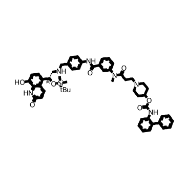 CN(C(=O)CCN1CCC(OC(=O)Nc2ccccc2-c2ccccc2)CC1)c1cccc(C(=O)Nc2ccc(CNC[C@H](O[Si](C)(C)C(C)(C)C)c3ccc(O)c4[nH]c(=O)ccc34)cc2)c1